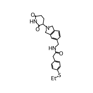 CCSc1ccc(CC(=O)NCc2ccc3c(c2)CN(C2CCC(=O)NC2=O)C3)cc1